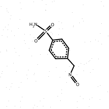 NS(=O)(=O)c1ccc(CN=O)cc1